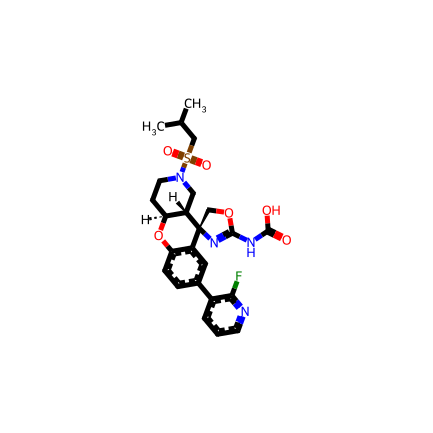 CC(C)CS(=O)(=O)N1CC[C@@H]2Oc3ccc(-c4cccnc4F)cc3[C@]3(COC(NC(=O)O)=N3)[C@H]2C1